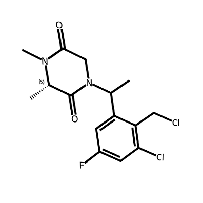 CC(c1cc(F)cc(Cl)c1CCl)N1CC(=O)N(C)[C@@H](C)C1=O